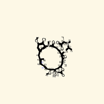 COc1cc2cc(c1Cl)N(C)C(=O)C[C@H](OC(=O)[C@H](C)N(C)C(C)C)C1(C)OC1[C@H](C)C1C[C@@](O)(NC(=O)O1)[C@H](OC)/C=C/C=C(\C)C2